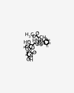 COC(=O)[C@H](C)NP(=O)(OCC1OC(n2ccc(=O)[nH]c2=O)[C@]2(CCO2)[C@@H]1O)Oc1ccccc1